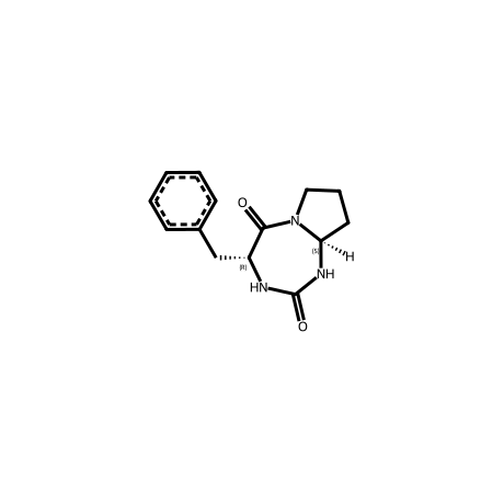 O=C1N[C@H](Cc2ccccc2)C(=O)N2CCC[C@H]2N1